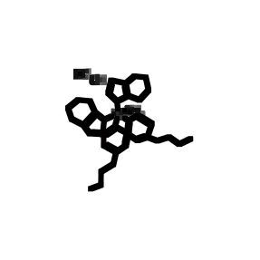 CCCCc1cc[c]([Hf](=[SiH2])([c]2ccc(CCCC)cc2)([CH]2C=CC3=C2CCCC3)[CH]2C=CC3=C2CCCC3)cc1.Cl.Cl